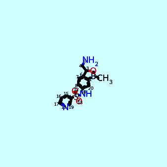 CB1OC(CN)c2ccc(NS(=O)(=O)c3cccnc3)cc21